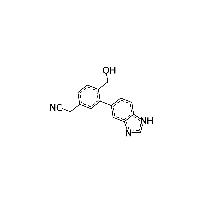 N#CCc1ccc(CO)c(-c2ccc3[nH]cnc3c2)c1